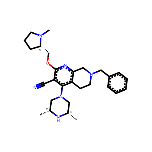 C[C@@H]1CN(c2c(C#N)c(OC[C@@H]3CCCN3C)nc3c2CCN(Cc2ccccc2)C3)C[C@H](C)N1